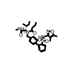 CCCC(=O)N(Cc1ccc(-c2ccccc2S(=O)(=O)Nc2noc(C)c2C)cc1)[C@H](C(=O)NC)C(C)CC